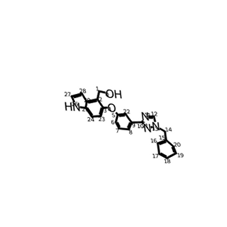 OCc1c(Oc2cccc(-c3ncn(Cc4ccccc4)n3)c2)ccc2[nH]ccc12